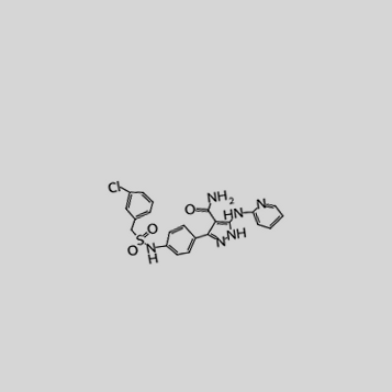 NC(=O)c1c(-c2ccc(NS(=O)(=O)Cc3cccc(Cl)c3)cc2)n[nH]c1Nc1ccccn1